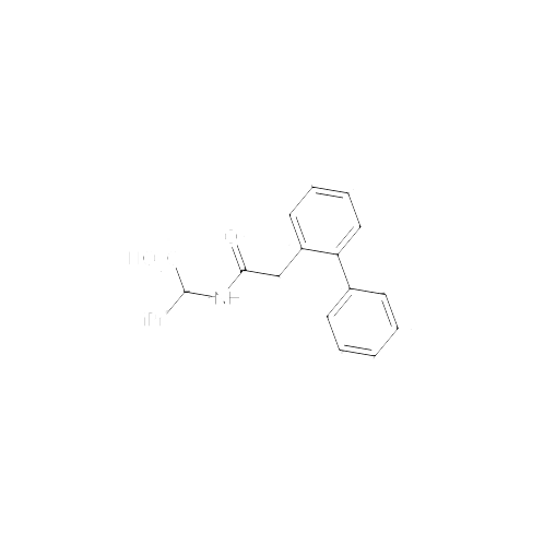 CC(C)C(NC(=O)Cc1ccccc1-c1ccccc1)C(=O)O